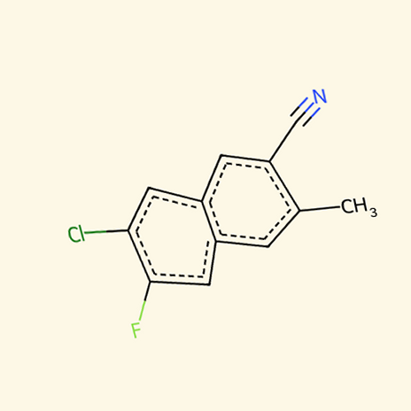 Cc1cc2cc(F)c(Cl)cc2cc1C#N